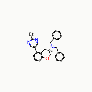 CCc1ncc(-c2cccc3c2C[C@H](N(Cc2ccccc2)Cc2ccccc2)CO3)cn1